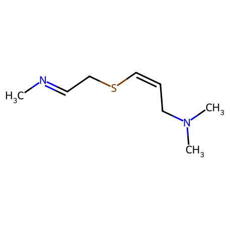 C/N=C/CS/C=C\CN(C)C